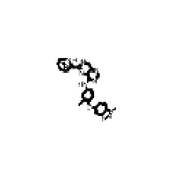 Cc1cc(Nc2ncnc3cnc(N4CC5CCC4CN5)nc23)ccc1Oc1ccc2c(c1)nnn2C